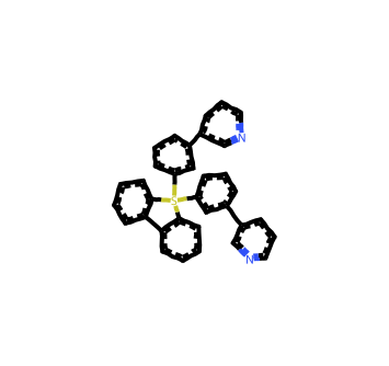 c1cncc(-c2cccc(S3(c4cccc(-c5cccnc5)c4)c4ccccc4-c4ccccc43)c2)c1